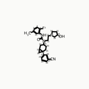 Cc1ccc(F)c(NC(=O)N(CCN2CC[C@@H](O)C2)C2CC[C@]3(c4cccc(C#N)c4)CC3C2)c1